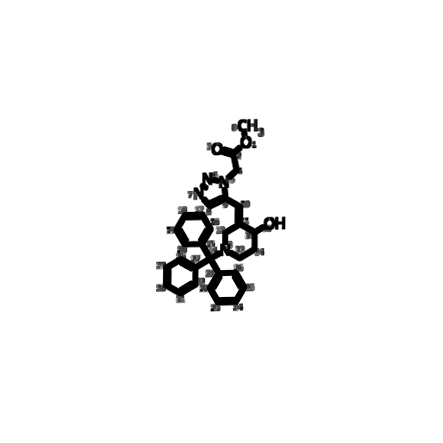 COC(=O)Cn1nncc1/C=C1\CN(C(c2ccccc2)(c2ccccc2)c2ccccc2)CCC1O